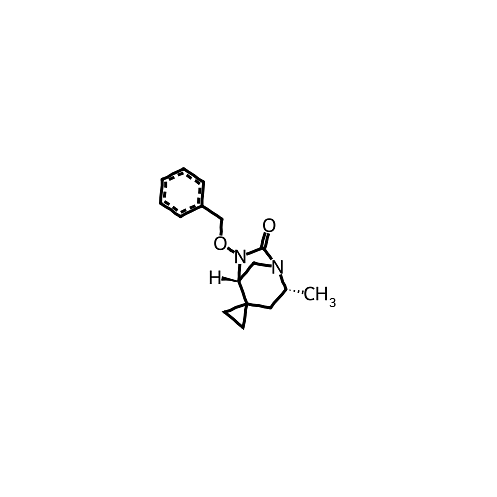 C[C@@H]1CC2(CC2)[C@H]2CN1C(=O)N2OCc1ccccc1